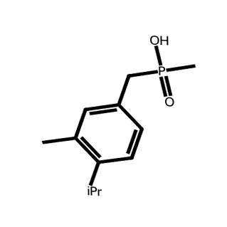 Cc1cc(CP(C)(=O)O)ccc1C(C)C